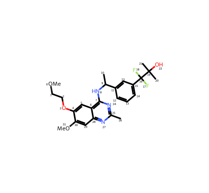 COCCOc1cc2c(NC(C)c3cccc(C(F)(F)C(C)(C)O)c3)nc(C)nc2cc1OC